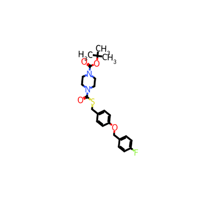 CC(C)(C)OC(=O)N1CCN(C(=O)SCc2ccc(OCc3ccc(F)cc3)cc2)CC1